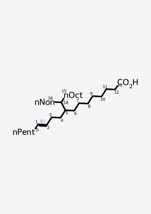 CCCCC/C=C/CCC(CCCCCCCC(=O)O)C(CCCCCCCC)CCCCCCCCC